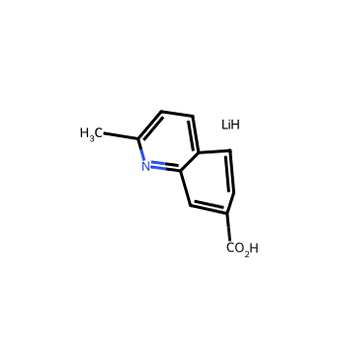 Cc1ccc2ccc(C(=O)O)cc2n1.[LiH]